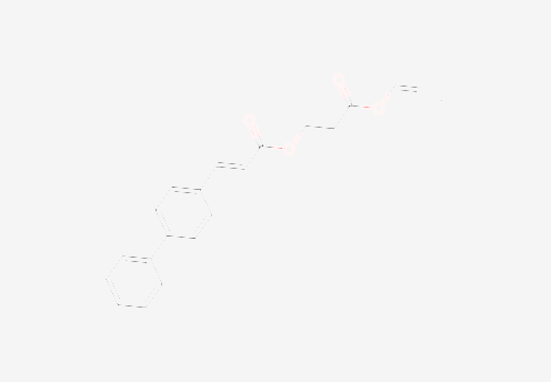 C=COC(=O)CCOC(=O)/C=C/c1ccc(-c2ccccc2)cc1